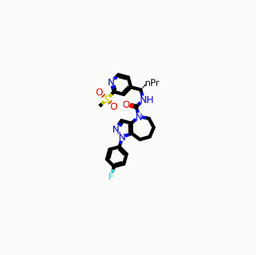 CCC[C@H](NC(=O)N1CCCCc2c1cnn2-c1ccc(F)cc1)c1ccnc(S(C)(=O)=O)c1